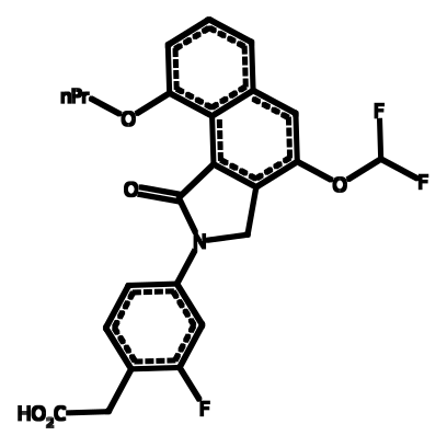 CCCOc1cccc2cc(OC(F)F)c3c(c12)C(=O)N(c1ccc(CC(=O)O)c(F)c1)C3